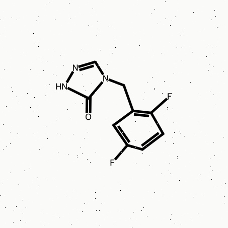 O=c1[nH]ncn1Cc1cc(F)ccc1F